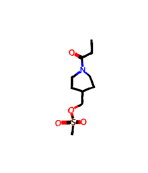 CCC(=O)N1CCC(COS(C)(=O)=O)CC1